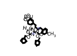 CCCCOC1C=CC(CC2/C(=C/c3ccc(C)cc3)N(C(=O)OCc3ccccc3)/C(=N/C(=O)OCc3ccccc3)N2C)=CC1